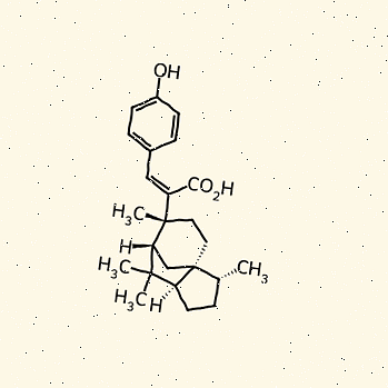 C[C@@H]1CC[C@H]2C(C)(C)[C@H]3C[C@@]12CC[C@@]3(C)/C(=C/c1ccc(O)cc1)C(=O)O